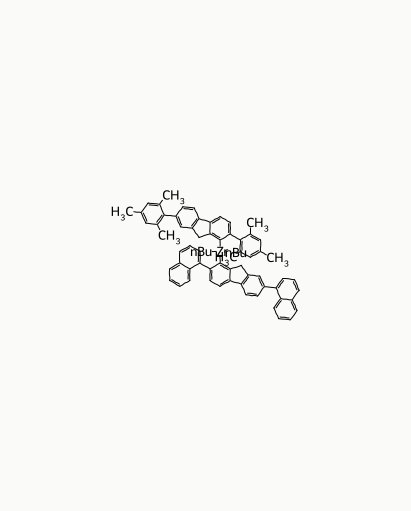 CCC[CH2][Zr]([CH2]CCC)([c]1c(-c2c(C)cc(C)cc2C)ccc2c1Cc1cc(-c3c(C)cc(C)cc3C)ccc1-2)[c]1c(-c2cccc3ccccc23)ccc2c1Cc1cc(-c3cccc4ccccc34)ccc1-2